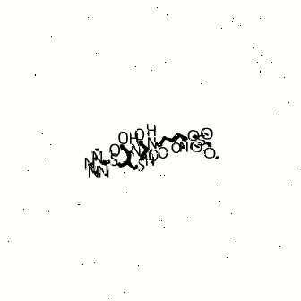 COCS(=O)(=O)Oc1cc(CC(=O)N[C@]2(OC)C(=O)N3C(C(=O)O)=C(CSc4nnnn4C)CS[C@@H]32)on1